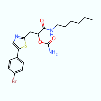 CCCCCCNC(=O)C(Cc1ncc(-c2ccc(Br)cc2)s1)OC(N)=O